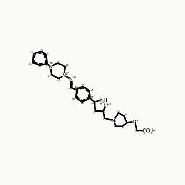 O=C(O)COC1CCN(CC2CC(c3ccc(C=NN4CCN(c5ccccc5)CC4)cc3)NO2)CC1